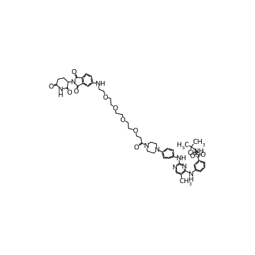 Cc1cnc(Nc2ccc(N3CCN(C(=O)CCOCCOCCOCCOCCNc4ccc5c(c4)C(=O)N(C4CCC(=O)NC4=O)C5=O)CC3)cc2)nc1Nc1cccc(S(=O)(=O)NC(C)(C)C)c1